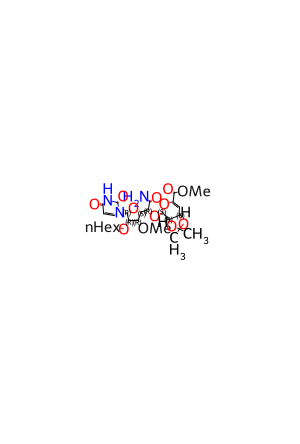 CCCCCCO[C@@H]1[C@H](OC)[C@@H]([C@@H](O[C@H]2OC(C(=O)OC)=C[C@@H]3OC(C)(C)O[C@H]23)C(N)=O)O[C@H]1n1ccc(=O)[nH]c1=O